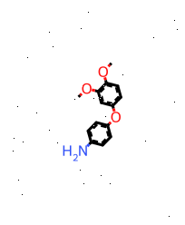 COc1ccc(Oc2ccc(N)cc2)cc1OC